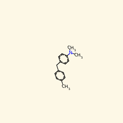 Cc1ccc(Cc2ccc(N(C)C)cc2)cc1